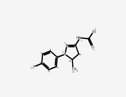 CCC(=O)NC1=NN(c2ccc(F)cc2)C(C)C1